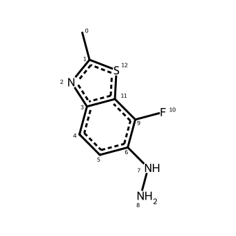 Cc1nc2ccc(NN)c(F)c2s1